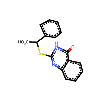 O=C(O)C(Sc1nc2ccccc2c(=O)[nH]1)c1ccccc1